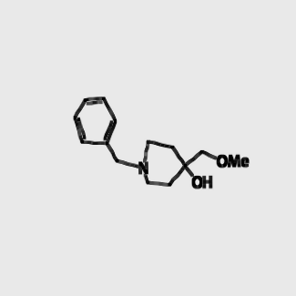 COCC1(O)CCN(Cc2ccccc2)CC1